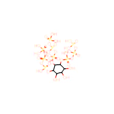 O=P(O)(O)OP(=O)(O)OP(=O)(O)OC1C(O)C(O)C(O)C(OP(=O)(O)OP(=O)(O)OP(=O)(O)O)C1OP(=O)(O)OP(=O)(O)OP(=O)(O)O